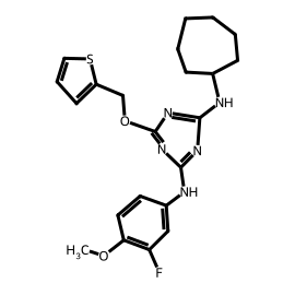 COc1ccc(Nc2nc(NC3CCCCCC3)nc(OCc3cccs3)n2)cc1F